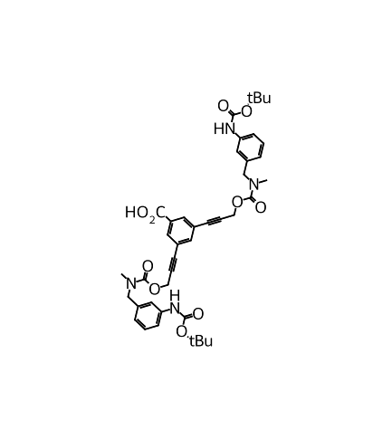 CN(Cc1cccc(NC(=O)OC(C)(C)C)c1)C(=O)OCC#Cc1cc(C#CCOC(=O)N(C)Cc2cccc(NC(=O)OC(C)(C)C)c2)cc(C(=O)O)c1